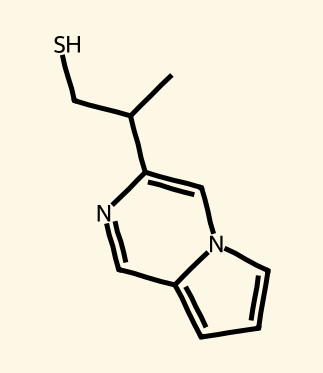 CC(CS)c1cn2cccc2cn1